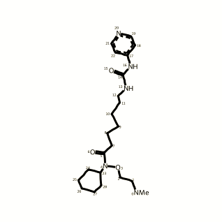 CNCCON(C(=O)CCCCCCNC(=O)Nc1ccncc1)C1CCCCC1